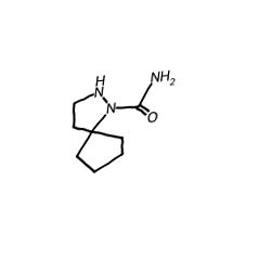 NC(=O)N1NCCC12CCCC2